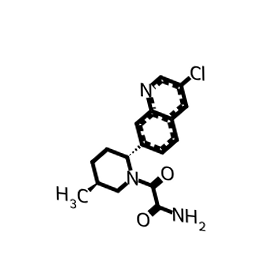 C[C@H]1CC[C@H](c2ccc3cc(Cl)cnc3c2)N(C(=O)C(N)=O)C1